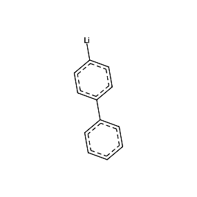 [Li][c]1ccc(-c2ccccc2)cc1